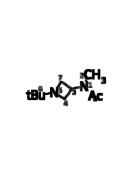 CC(=O)N(C)C1CN(C(C)(C)C)C1